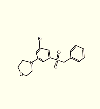 O=S(=O)(Cc1ccccc1)c1cc(Br)cc(N2CCOCC2)c1